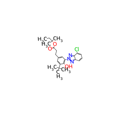 CCC(C)(C)OC(=O)CCc1cc(-n2nc3cccc(Cl)c3n2)c(O)c(C(C)(C)C)c1